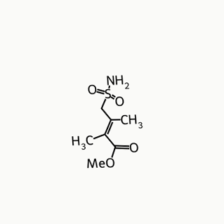 COC(=O)/C(C)=C(\C)CS(N)(=O)=O